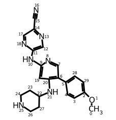 COc1ccc(-c2cnc(Nc3cnc(C#N)cn3)cc2NC2CCNCC2)cc1